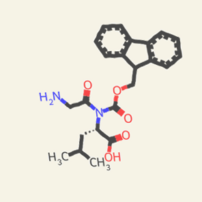 CC(C)C[C@@H](C(=O)O)N(C(=O)CN)C(=O)OCC1c2ccccc2-c2ccccc21